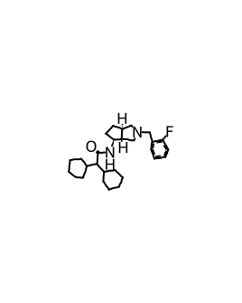 O=C(N[C@H]1CC[C@H]2CN(Cc3ccccc3F)C[C@H]21)C(C1CCCCC1)C1CCCCC1